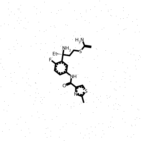 C=C(N)SCC[C@@](N)(CC)c1cc(NC(=O)c2csc(C)n2)ccc1F